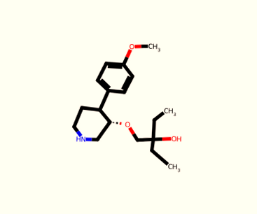 CCC(O)(CC)CO[C@@H]1CNCCC1c1ccc(OC)cc1